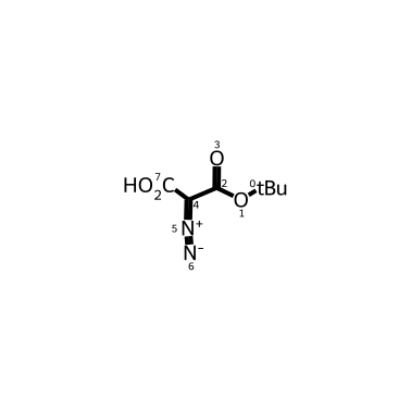 CC(C)(C)OC(=O)C(=[N+]=[N-])C(=O)O